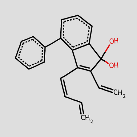 C=C/C=C\C1=C(C=C)C(O)(O)c2cccc(-c3ccccc3)c21